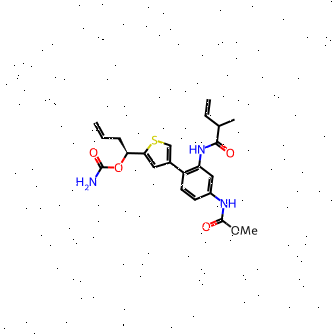 C=CC[C@H](OC(N)=O)c1cc(-c2ccc(NC(=O)OC)cc2NC(=O)C(C)C=C)cs1